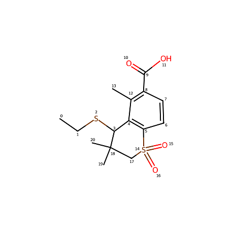 CCSC1c2c(ccc(C(=O)O)c2C)S(=O)(=O)CC1(C)C